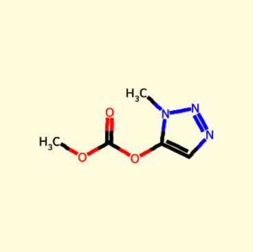 COC(=O)Oc1cnnn1C